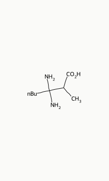 CCCCC(N)(N)C(C)C(=O)O